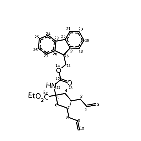 C=CCCCC(CCCC=C)(NC(=O)OCC1c2ccccc2-c2ccccc21)C(=O)OCC